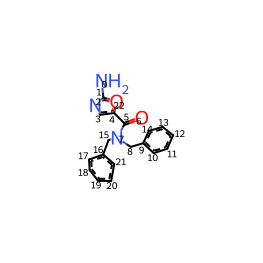 Nc1ncc(C(=O)N(Cc2ccccc2)Cc2ccccc2)o1